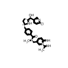 CC(=N)n1cc(CN(C)C(=O)c2ccc(C[C@@H]3CC[C@H]([C@H](O)c4ccc(Cl)nc4)N3)cc2)ccc1=N